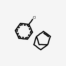 C1=CC2CCC1C2.Clc1ccccc1